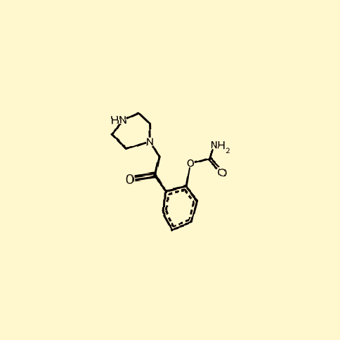 NC(=O)Oc1ccccc1C(=O)CN1CCNCC1